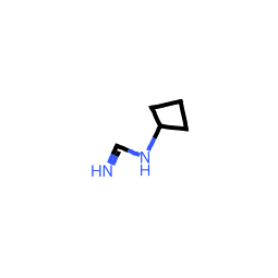 N=CNC1CCC1